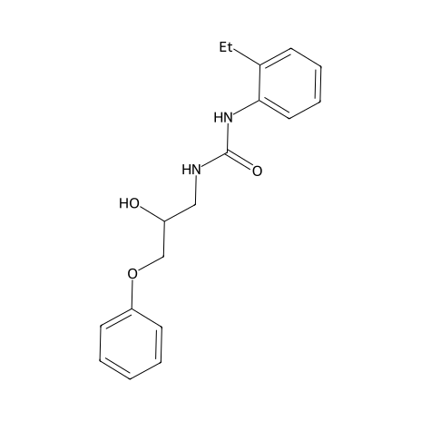 CCc1ccccc1NC(=O)NCC(O)COc1ccccc1